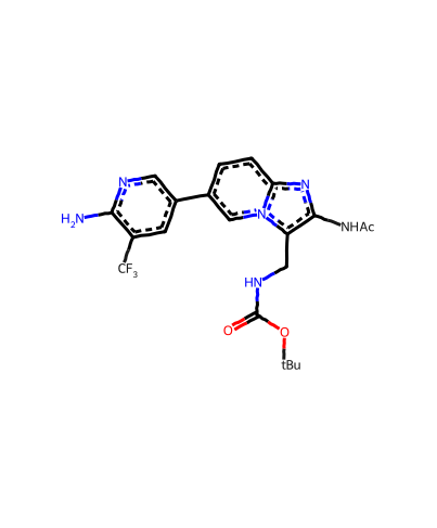 CC(=O)Nc1nc2ccc(-c3cnc(N)c(C(F)(F)F)c3)cn2c1CNC(=O)OC(C)(C)C